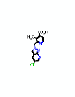 Cc1c(C(=O)O)ccnc1Cn1cc2cc(Cl)cnc2n1